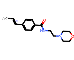 CCC/C=C/c1ccc(C(=O)NCCN2CCOCC2)cc1